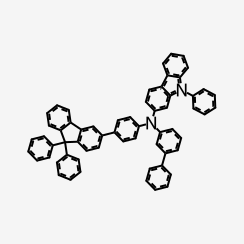 c1ccc(-c2cccc(N(c3ccc(-c4ccc5c(c4)-c4ccccc4C5(c4ccccc4)c4ccccc4)cc3)c3ccc4c5ccccc5n(-c5ccccc5)c4c3)c2)cc1